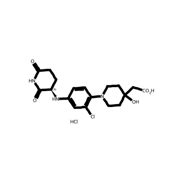 Cl.O=C(O)CC1(O)CCN(c2ccc(N[C@@H]3CCC(=O)NC3=O)cc2Cl)CC1